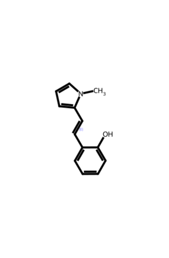 Cn1cccc1/C=C/c1ccccc1O